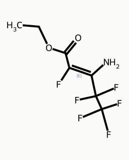 CCOC(=O)/C(F)=C(\N)C(F)(F)C(F)(F)F